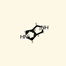 [c]1[nH]cc2c1CN[CH]2